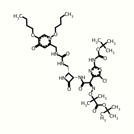 CCCCOc1cn(OCCCC)c(CNC(=O)NC[C@H]2NC(=O)[C@H]2NC(=O)/C(=N\OC(C)(C)C(=O)OC(C)(C)C)c2nc(NC(=O)OC(C)(C)C)sc2Cl)cc1=O